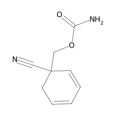 N#CC1(COC(N)=O)C=CC=CC1